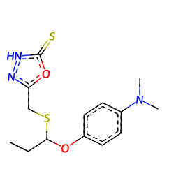 CCC(Oc1ccc(N(C)C)cc1)SCc1n[nH]c(=S)o1